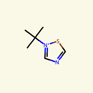 CC(C)(C)[n+]1cncs1